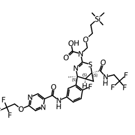 C[C@]1(c2cc(NC(=O)c3cnc(OCC(F)(F)F)cn3)ccc2F)N=C(N(COCC[Si](C)(C)C)C(=O)O)S[C@@]2(C(=O)NCC(F)(F)F)C[C@H]21